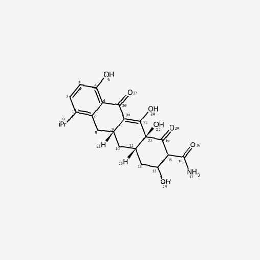 CC(C)c1ccc(O)c2c1C[C@H]1C[C@H]3CC(O)C(C(N)=O)C(=O)[C@@]3(O)C(O)=C1C2=O